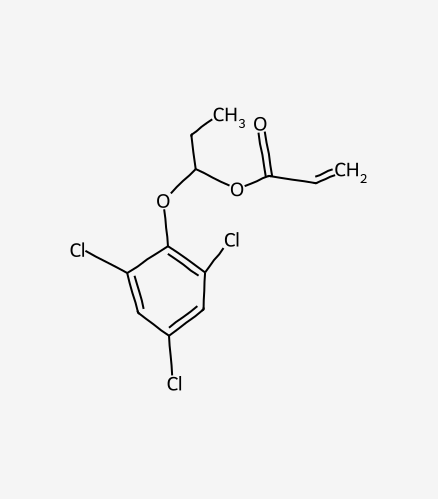 C=CC(=O)OC(CC)Oc1c(Cl)cc(Cl)cc1Cl